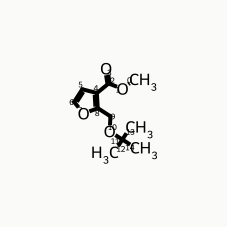 COC(=O)c1ccoc1COC(C)(C)C